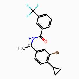 C[C@@H](NC(=O)c1cccc(C(F)(F)F)c1)c1ccc(C2CC2)c(Br)c1